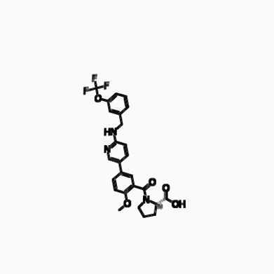 COc1ccc(-c2ccc(NCc3cccc(OC(F)(F)F)c3)nc2)cc1C(=O)N1CCC[C@H]1C(=O)O